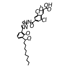 CCCCCCCCCC(OC)c1cccc(-c2csc(NC(=O)c3cc(Cl)c(/C=C(\OC)C(=O)O)c(Cl)c3)n2)c1OC